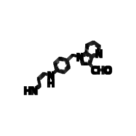 N=C/C=C\Nc1ccc(Cn2cc(C=O)c3ncccc32)cc1